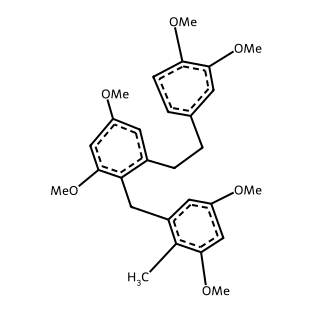 COc1cc(Cc2c(CCc3ccc(OC)c(OC)c3)cc(OC)cc2OC)c(C)c(OC)c1